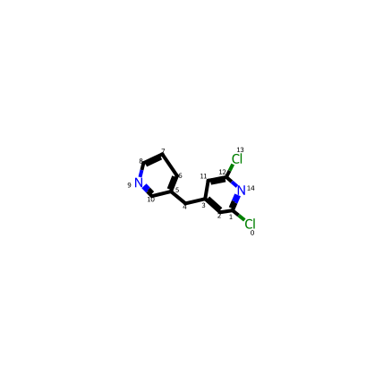 Clc1cc(Cc2cccnc2)cc(Cl)n1